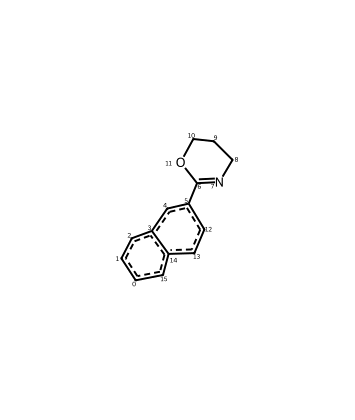 c1ccc2cc(C3=NCCCO3)ccc2c1